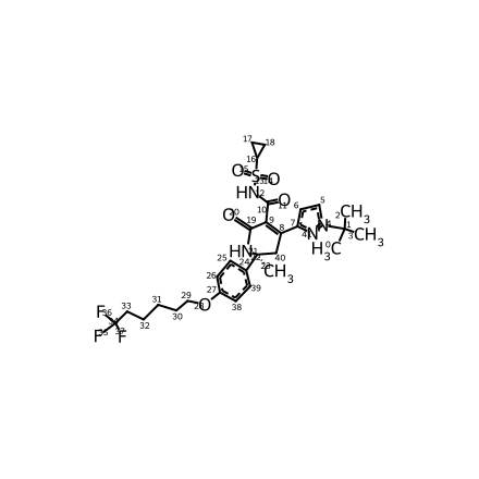 CC(C)(C)n1ccc(C2=C(C(=O)NS(=O)(=O)C3CC3)C(=O)N[C@](C)(c3ccc(OCCCCCC(F)(F)F)cc3)C2)n1